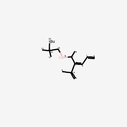 C=C/C=C(/C(=C)C)C(C)BCC(C)(C)C(C)(C)C